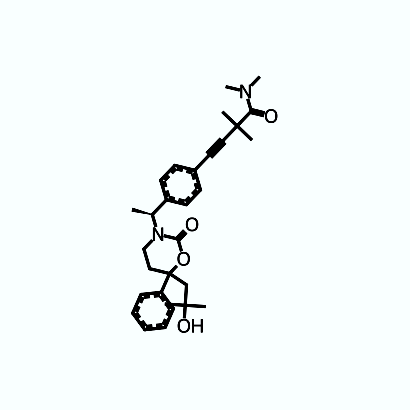 C[C@@H](c1ccc(C#CC(C)(C)C(=O)N(C)C)cc1)N1CCC(CC(C)(C)O)(c2ccccc2)OC1=O